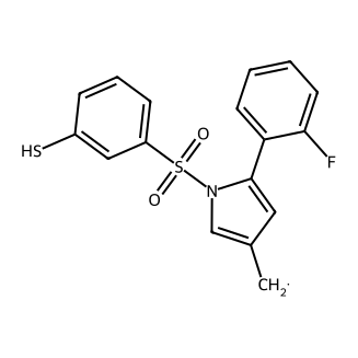 [CH2]c1cc(-c2ccccc2F)n(S(=O)(=O)c2cccc(S)c2)c1